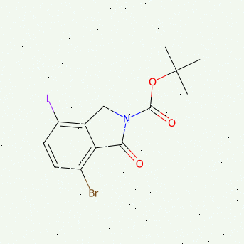 CC(C)(C)OC(=O)N1Cc2c(I)ccc(Br)c2C1=O